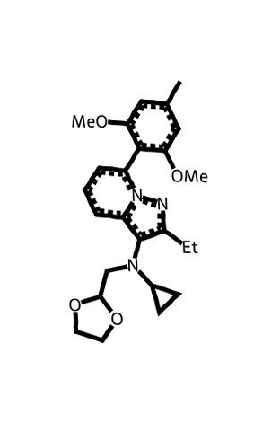 CCc1nn2c(-c3c(OC)cc(C)cc3OC)cccc2c1N(CC1OCCO1)C1CC1